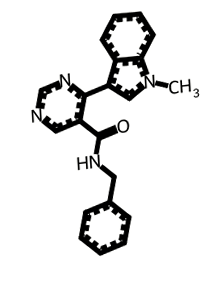 Cn1cc(-c2ncncc2C(=O)NCc2ccccc2)c2ccccc21